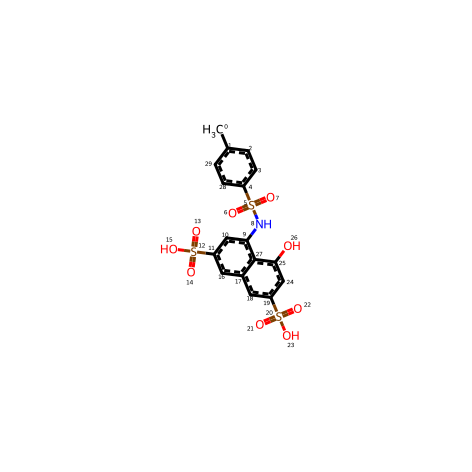 Cc1ccc(S(=O)(=O)Nc2cc(S(=O)(=O)O)cc3cc(S(=O)(=O)O)cc(O)c23)cc1